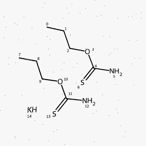 CCCOC(N)=S.CCCOC(N)=S.[KH]